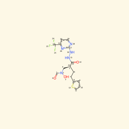 O=CN(O)C[C@H](CCc1cccs1)C(=O)NNc1nccc(C(F)(F)F)n1